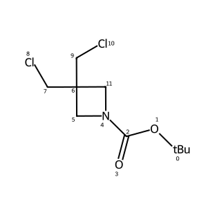 CC(C)(C)OC(=O)N1CC(CCl)(CCl)C1